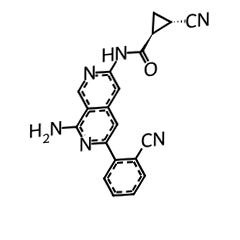 N#Cc1ccccc1-c1cc2cc(NC(=O)[C@H]3C[C@@H]3C#N)ncc2c(N)n1